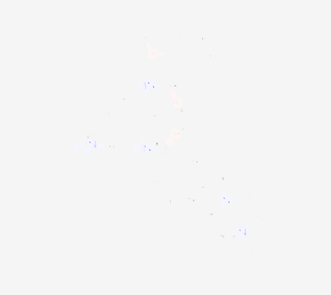 COc1ccccc1C(=O)Nc1ccc(CN)c(NC(=O)c2cccc(CN3CCN(C)CC3)c2)c1